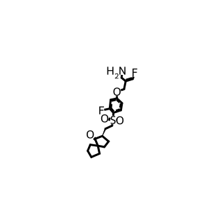 NC/C(=C\F)COc1ccc(S(=O)(=O)CC[C@H]2CCC3(CCCC3)C2=O)c(F)c1